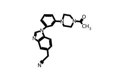 CC(=O)N1CCN(c2cccc(-n3cnc4cc(CC#N)ccc43)c2)CC1